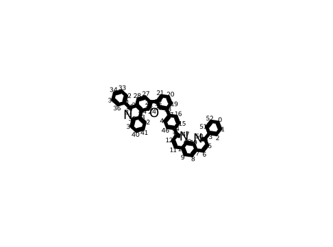 c1ccc(-c2ccc3ccc4ccc(-c5ccc(-c6cccc7c6oc6c7ccc7c(-c8ccccc8)nc8ccccc8c76)cc5)nc4c3n2)cc1